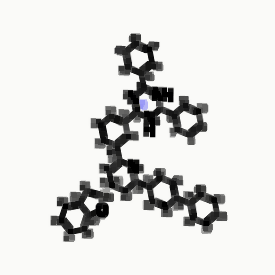 N=C(/N=C(\NCc1ccccc1)c1cccc(C2=C[C@@H](c3cc4ccccc4o3)CC(C3C=CC(c4ccccc4)=CC3)=N2)c1)c1ccccc1